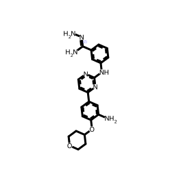 N/N=C(\N)c1cccc(Nc2nccc(-c3ccc(OC4CCOCC4)c(N)c3)n2)c1